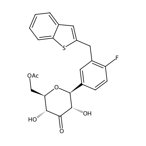 CC(=O)OC[C@H]1O[C@@H](c2ccc(F)c(Cc3cc4ccccc4s3)c2)[C@H](O)C(=O)[C@@H]1O